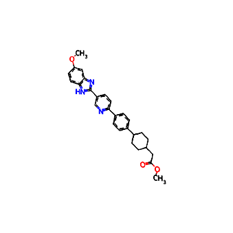 COC(=O)CC1CCC(c2ccc(-c3ccc(-c4nc5cc(OC)ccc5[nH]4)cn3)cc2)CC1